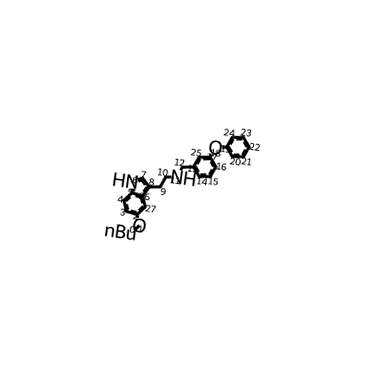 CCCCOc1ccc2[nH]cc(CCNCc3cccc(Oc4ccccc4)c3)c2c1